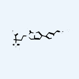 CON=Cc1cc(-c2cc3n(c2)C(=O)N(CCC(C)(C(=O)NO)S(C)(=O)=O)C3)cs1